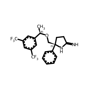 C[C@@H](OC[C@@]1(c2ccccc2)CCC(=N)N1)c1cc(C(F)(F)F)cc(C(F)(F)F)c1